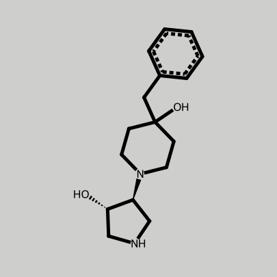 O[C@H]1CNC[C@@H]1N1CCC(O)(Cc2ccccc2)CC1